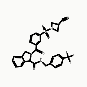 N#CC1CN(S(=O)(=O)c2cccc(C(=O)N3Cc4ccccc4C3C(=O)NCc3ccc(C(F)(F)F)cc3)c2)C1